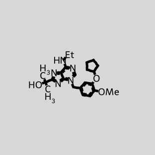 CCNc1ncn(Cc2ccc(OC)c(OC3CCCC3)c2)c2nc(C(C)(C)O)nc1-2